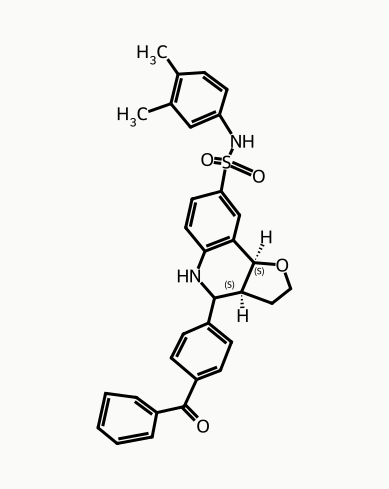 Cc1ccc(NS(=O)(=O)c2ccc3c(c2)[C@H]2OCC[C@H]2C(c2ccc(C(=O)c4ccccc4)cc2)N3)cc1C